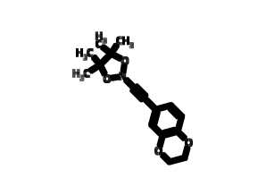 CC1(C)ON(C#Cc2ccc3c(c2)OCCO3)OC1(C)C